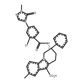 Cc1ccc2c(c1)c(C(=O)O)c1n2C[C@@](NC(=O)c2ccc(-n3cnn(C)c3=O)cc2Cl)(c2ccccc2)CC1